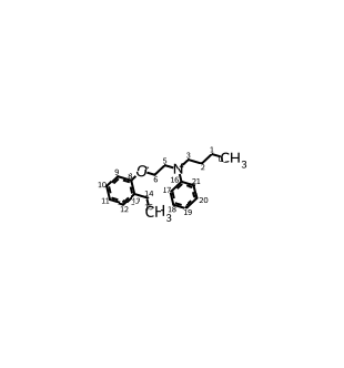 CCCCN(CCOc1ccccc1CC)c1ccccc1